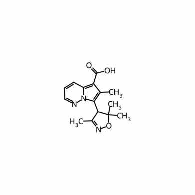 CC1=NOC(C)(C)C1c1c(C)c(C(=O)O)c2cccnn12